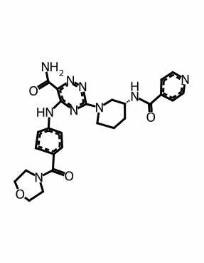 NC(=O)c1nnc(N2CCC[C@@H](NC(=O)c3ccncc3)C2)nc1Nc1ccc(C(=O)N2CCOCC2)cc1